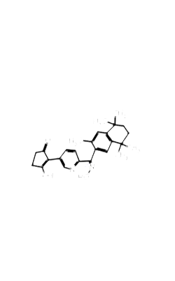 Cc1cc2c(cc1/C(=N/O)c1ccc(C3=C(O)CCC3=O)cn1)C(C)(C)CCC2(C)C